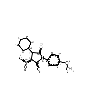 COc1ccc(N2C(=O)C(=S(=O)=O)C(C3CCCCC3)C2=O)cc1